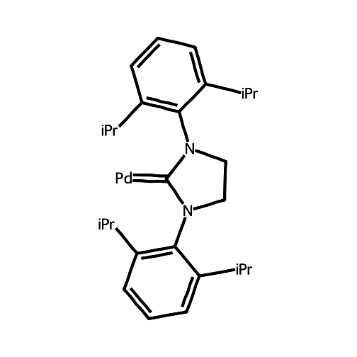 CC(C)c1cccc(C(C)C)c1N1CCN(c2c(C(C)C)cccc2C(C)C)[C]1=[Pd]